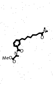 COC(=O)/C(C)=N/C(=O)c1cccc(CCCCCCCC(=O)N(C)C)c1